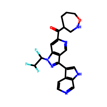 O=C(c1cc2c(cn1)c(-c1c[nH]c3cnccc13)nn2C(F)C(F)F)C1CCCONC1